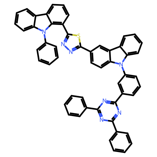 c1ccc(-c2nc(-c3ccccc3)nc(-c3cccc(-n4c5ccccc5c5cc(-c6nnc(-c7cccc8c9ccccc9n(-c9ccccc9)c78)s6)ccc54)c3)n2)cc1